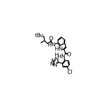 CC(CC(=O)Nc1cccc2cc(C(=O)Nc3ccc(Cl)cc3-c3nnn[nH]3)[nH]c12)CC(C)(C)C